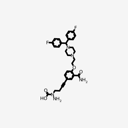 NC(=O)c1cc(C#CCCN(N)C(=O)O)ccc1OCCN1CCN(C(c2ccc(F)cc2)c2ccc(F)cc2)CC1